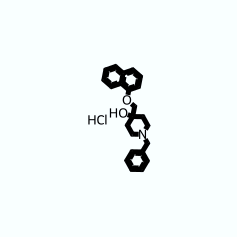 Cl.OC1(COc2cccc3ccccc23)CCN(Cc2ccccc2)CC1